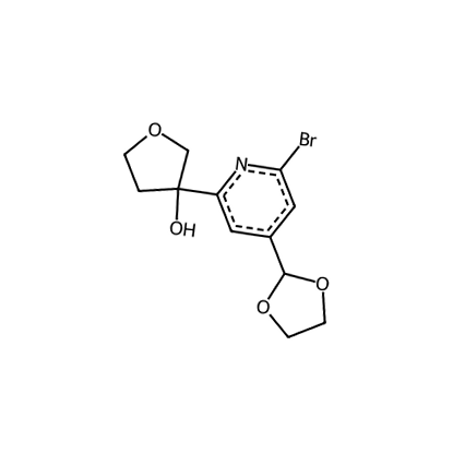 OC1(c2cc(C3OCCO3)cc(Br)n2)CCOC1